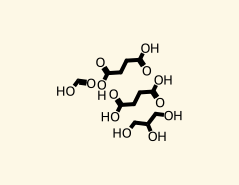 O=C(O)CCC(=O)O.O=C(O)CCC(=O)O.O=CO.OCC(O)CO